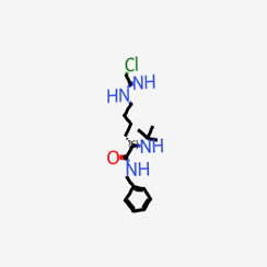 CC(C)(C)N[C@@H](CCCCNC(=N)CCl)C(=O)NCc1ccccc1